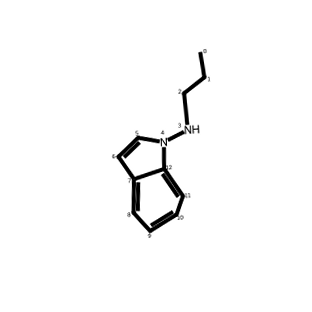 CCCNn1ccc2ccccc21